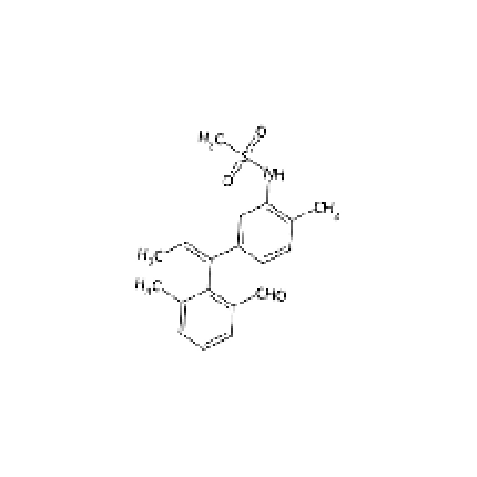 C/C=C(/c1ccc(C)c(NS(C)(=O)=O)c1)c1c(C)cccc1C=O